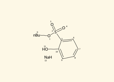 CCCCOS(=O)(=O)c1ccccc1O.[NaH]